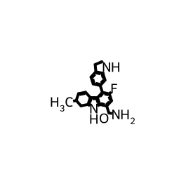 CC1C=Cc2c([nH]c3c(C(N)=O)cc(F)c(-c4ccc5c(c4)NCC5)c23)C1